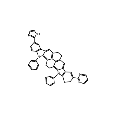 C1=C(c2ncccn2)CCc2c1c1cc3c4c(c1n2-c1ccccc1)CCc1c-4c(cc2c4cc(-c5ncc[nH]5)ccc4n(-c4ccccc4)c12)CC3